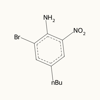 CCCCc1cc(Br)c(N)c([N+](=O)[O-])c1